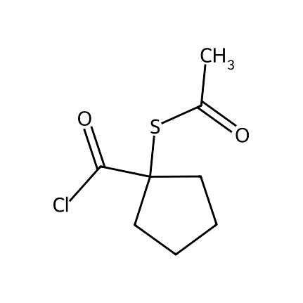 CC(=O)SC1(C(=O)Cl)CCCC1